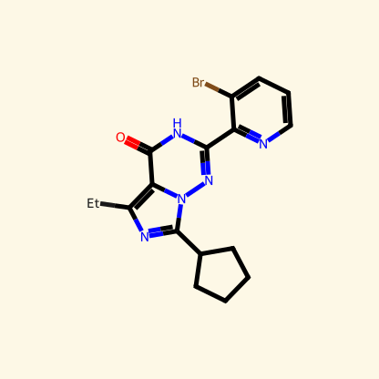 CCc1nc(C2CCCC2)n2nc(-c3ncccc3Br)[nH]c(=O)c12